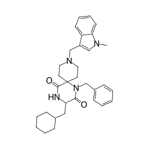 Cn1cc(CN2CCC3(CC2)C(=O)NC(CC2CCCCC2)C(=O)N3Cc2ccccc2)c2ccccc21